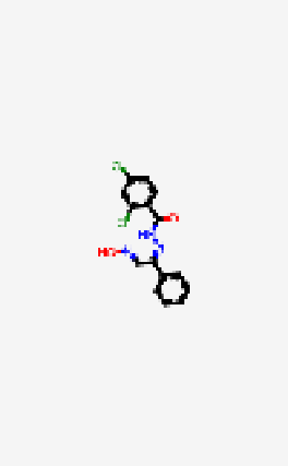 O=C(N/N=C(\C=N\O)c1ccccc1)c1ccc(Cl)cc1Cl